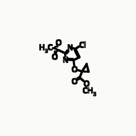 COC(=O)C1(Oc2cc(Cl)nc(S(C)(=O)=O)n2)CC1